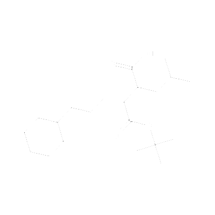 CC(C)CC(C(=O)O)[C@@H](CCCC1CCCCC1)C(=O)OC(C)(C)C